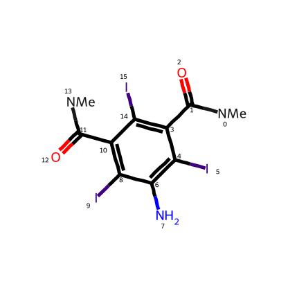 CNC(=O)c1c(I)c(N)c(I)c(C(=O)NC)c1I